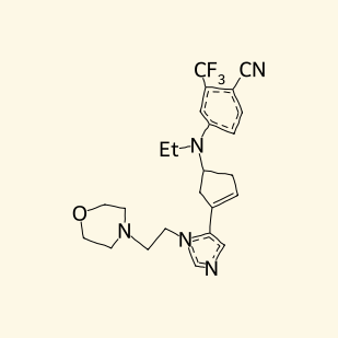 CCN(c1ccc(C#N)c(C(F)(F)F)c1)C1CC=C(c2cncn2CCN2CCOCC2)C1